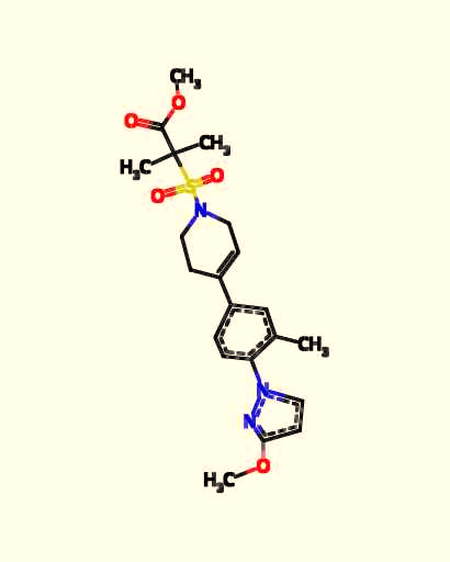 COC(=O)C(C)(C)S(=O)(=O)N1CC=C(c2ccc(-n3ccc(OC)n3)c(C)c2)CC1